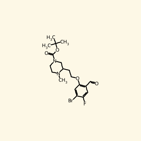 CN1CCN(C(=O)OC(C)(C)C)CC1CCOc1cc(Br)c(F)cc1C=O